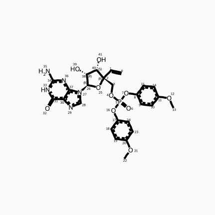 C=C[C@]1(COP(=O)(Oc2ccc(OC)cc2)Oc2ccc(OC)cc2)O[C@@H](n2cnc3c(=O)[nH]c(N)nc32)[C@H](O)[C@@H]1O